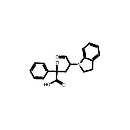 O=CC(CC(Cl)(C(=O)O)c1ccccc1)N1CCc2ccccc21